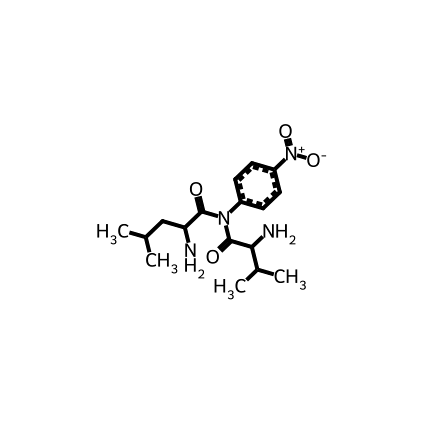 CC(C)CC(N)C(=O)N(C(=O)C(N)C(C)C)c1ccc([N+](=O)[O-])cc1